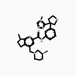 CC1CCc2c(CN3CCC[C@H](C)C3)cc(C(=O)Nc3cccc(C4(c5nncn5C)CCOC4)c3)nc21